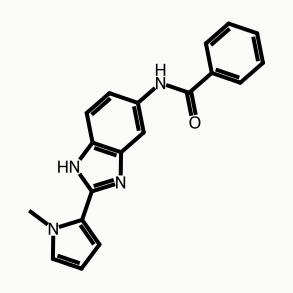 Cn1cccc1-c1nc2cc(NC(=O)c3ccccc3)ccc2[nH]1